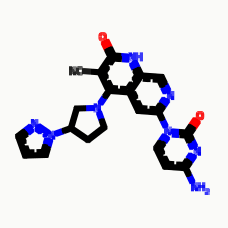 N#Cc1c(N2CCC(n3cccn3)C2)c2cc(-n3ccc(N)nc3=O)ncc2[nH]c1=O